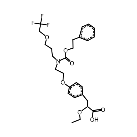 CCOC(Cc1ccc(OCCN(CCCOCC(F)(F)F)C(=O)OCCc2ccccc2)cc1)C(=O)O